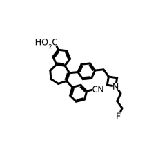 N#Cc1cccc(C2=C(c3ccc(CC4CN(CCCF)C4)cc3)c3ccc(C(=O)O)cc3CCC2)c1